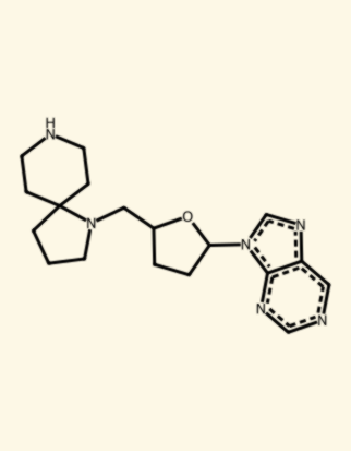 c1ncc2ncn(C3CCC(CN4CCCC45CCNCC5)O3)c2n1